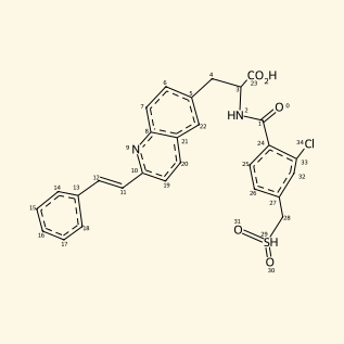 O=C(NC(Cc1ccc2nc(C=Cc3ccccc3)ccc2c1)C(=O)O)c1ccc(C[SH](=O)=O)cc1Cl